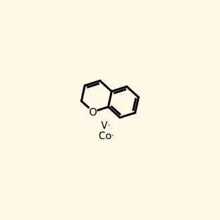 C1=Cc2ccccc2OC1.[Co].[V]